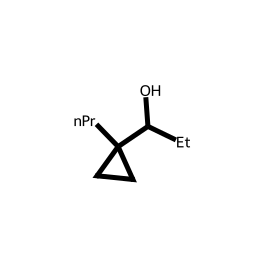 CCCC1(C(O)CC)CC1